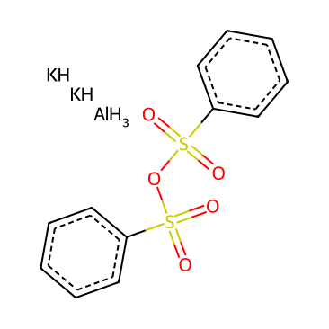 O=S(=O)(OS(=O)(=O)c1ccccc1)c1ccccc1.[AlH3].[KH].[KH]